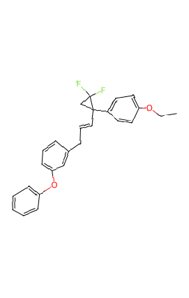 CCOc1ccc(C2(/C=C/Cc3cccc(Oc4ccccc4)c3)CC2(F)F)cc1